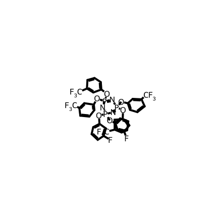 Fc1cccc(OP2(Oc3cccc(F)c3)=NP(Oc3cccc(C(F)(F)F)c3)(Oc3cccc(C(F)(F)F)c3)=NP(Oc3cccc(C(F)(F)F)c3)(Oc3cccc(C(F)(F)F)c3)=N2)c1